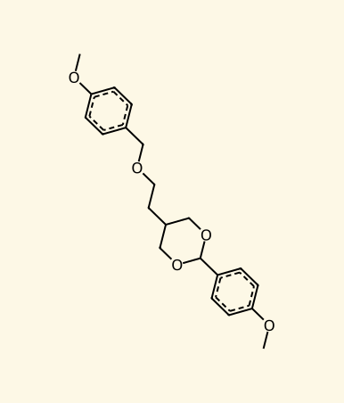 COc1ccc(COCCC2COC(c3ccc(OC)cc3)OC2)cc1